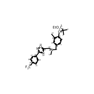 CCOC(=O)C(C)(C)Oc1ccc(CN(C)Cc2nc(-c3ccc(C(F)(F)F)cc3)no2)cc1C